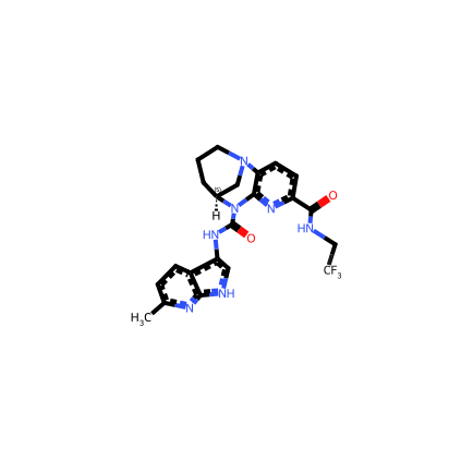 Cc1ccc2c(NC(=O)N3c4nc(C(=O)NCC(F)(F)F)ccc4N4CCC[C@H]3C4)c[nH]c2n1